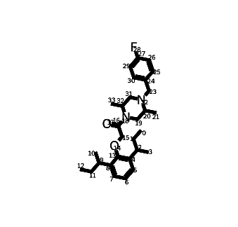 CCC(C)c1cccc(C(C)CC)c1OCC(=O)N1CC(C)N(Cc2ccc(F)cc2)CC1C